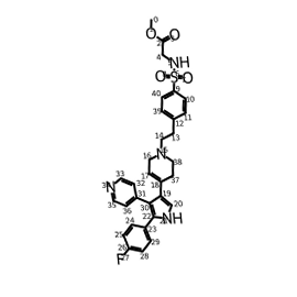 COC(=O)CNS(=O)(=O)c1ccc(CCN2CC=C(c3c[nH]c(-c4ccc(F)cc4)c3-c3ccncc3)CC2)cc1